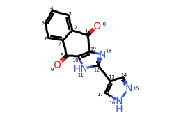 O=C1c2ccccc2C(=O)c2[nH]c(-c3cn[nH]c3)nc21